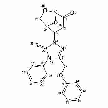 O=C1CC(n2nc(COc3ccccc3)n(-c3ccccc3)c2=S)C2COC1O2